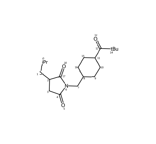 CC(C)SC1CC(=O)N(CC2CCC(C(=O)C(C)(C)C)CC2)C1=O